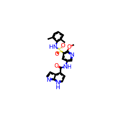 COc1ncc(NC(=O)c2cc[nH]c3nccc2-3)cc1S(=O)(=O)Nc1c(C)cccc1C